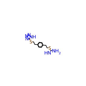 N=C(N)SCCc1ccc(CCSc2nnn[nH]2)cc1